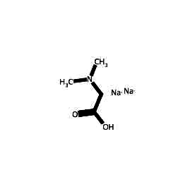 CN(C)CC(=O)O.[Na].[Na]